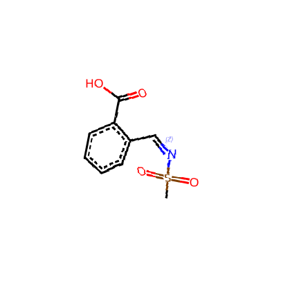 CS(=O)(=O)/N=C\c1ccccc1C(=O)O